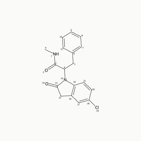 CNC(=O)C(Cc1ccccc1)N1C(=O)Cc2cc(Cl)ccc21